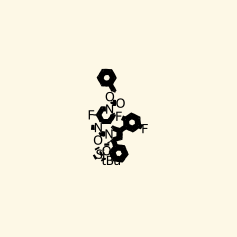 CN(C(=O)N1CC(c2cc(F)ccc2F)=C[C@@]1(CO[Si](C)(C)C(C)(C)C)c1ccccc1)C1CCN(C(=O)OCc2ccccc2)C[C@H]1F